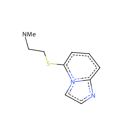 CNCCSc1cccc2nccn12